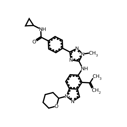 C=C(C)c1c(Nc2nc(-c3ccc(C(=O)NC4CC4)cc3)nn2C)ccc2c1cnn2C1CCCCO1